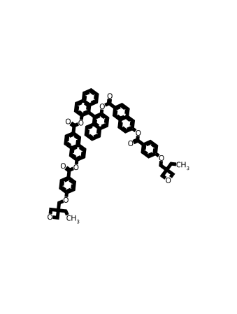 CCC1(COc2ccc(C(=O)Oc3ccc4cc(C(=O)Oc5ccc6ccccc6c5-c5c(OC(=O)c6ccc7cc(OC(=O)c8ccc(OCC9(CC)COC9)cc8)ccc7c6)ccc6ccccc56)ccc4c3)cc2)COC1